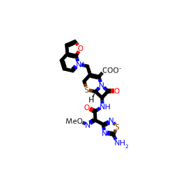 CO/N=C(\C(=O)NC1C(=O)N2C(C(=O)[O-])=C(C[n+]3cccc4ccoc43)CS[C@H]12)c1nsc(N)n1